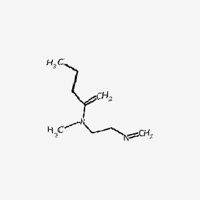 C=NCCN(C)C(=C)CCC